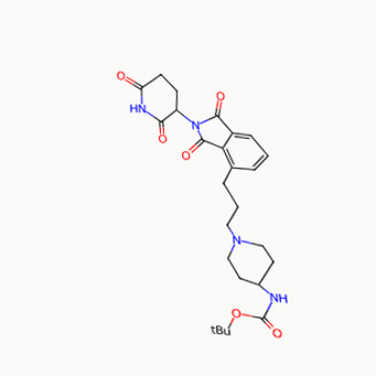 CC(C)(C)OC(=O)NC1CCN(CCCc2cccc3c2C(=O)N(C2CCC(=O)NC2=O)C3=O)CC1